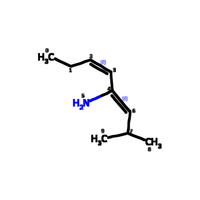 CC/C=C\C(N)=C\C(C)C